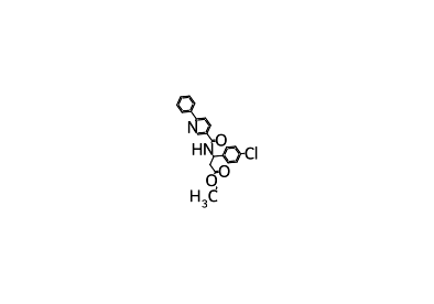 CCOC(=O)CC(NC(=O)c1ccc(-c2ccccc2)nc1)c1ccc(Cl)cc1